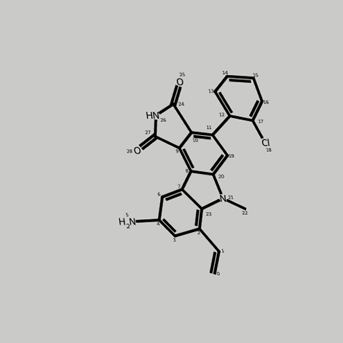 C=Cc1cc(N)cc2c3c4c(c(-c5ccccc5Cl)cc3n(C)c12)C(=O)NC4=O